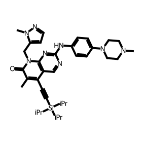 Cc1c(C#C[Si](C(C)C)(C(C)C)C(C)C)c2cnc(Nc3ccc(N4CCN(C)CC4)cc3)nc2n(Cc2ccnn2C)c1=O